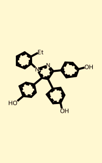 CCc1ccccc1-n1nc(-c2ccc(O)cc2)c(-c2ccc(O)cc2)c1-c1ccc(O)cc1